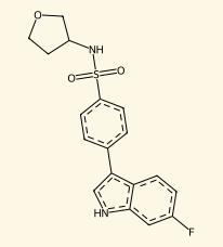 O=S(=O)(NC1CCOC1)c1ccc(-c2c[nH]c3cc(F)ccc23)cc1